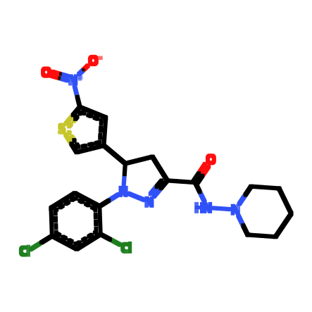 O=C(NN1CCCCC1)C1=NN(c2ccc(Cl)cc2Cl)C(c2csc([N+](=O)[O-])c2)C1